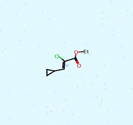 CCOC(=O)/C(Cl)=C/C1CC1